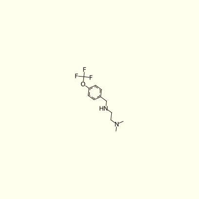 CN(C)CCNCc1ccc(OC(F)(F)F)cc1